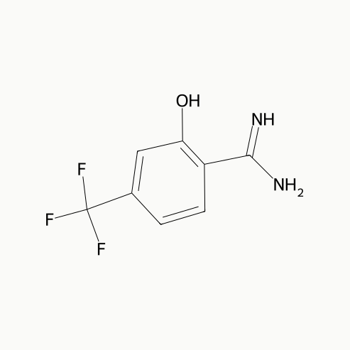 N=C(N)c1ccc(C(F)(F)F)cc1O